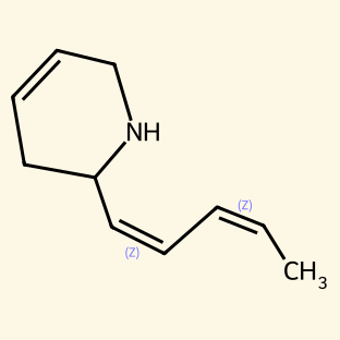 C/C=C\C=C/C1CC=CCN1